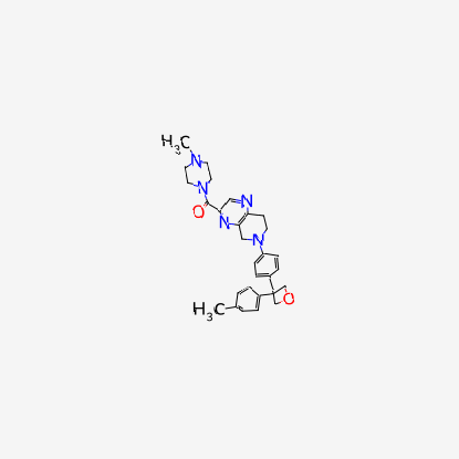 Cc1ccc(C2(c3ccc(N4CCc5ncc(C(=O)N6CCN(C)CC6)nc5C4)cc3)COC2)cc1